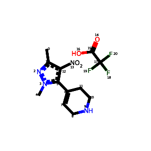 Cc1nn(C)c(C2=CCNCC2)c1[N+](=O)[O-].O=C(O)C(F)(F)F